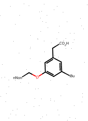 CCCCCCCCCCOc1cc(CC(=O)O)cc(C(C)CC)c1